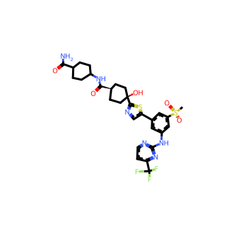 CS(=O)(=O)c1cc(Nc2nccc(C(F)(F)F)n2)cc(-c2cnc([C@]3(O)CC[C@@H](C(=O)NC4CCC(C(N)=O)CC4)CC3)s2)c1